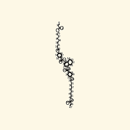 C=CC(=O)OCCCCCCCCCOc1ccc(C(=O)Oc2ccc(OC(=O)c3ccc(OCCCCCCCCCOC(=O)C=C)cc3)c3ccccc23)cc1